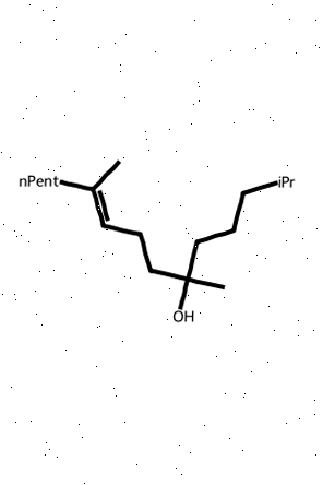 CCCCC/C(C)=C/CCC(C)(O)CCCC(C)C